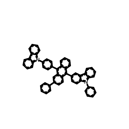 c1ccc(-c2ccc3c(-c4ccc5c(c4)c4ccccc4n5-c4ccccc4)c4ccccc4c(-c4ccc(-n5c6ccccc6c6ccccc65)cc4)c3c2)cc1